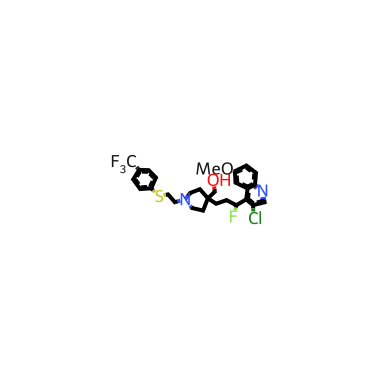 COc1ccc2ncc(Cl)c(C(F)CCC3(CO)CCN(CCSc4ccc(C(F)(F)F)cc4)CC3)c2c1